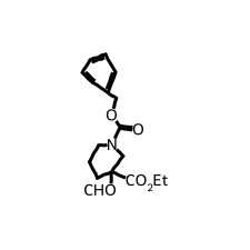 CCOC(=O)C1(C=O)CCCN(C(=O)OCc2ccccc2)C1